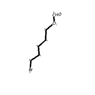 O=COCCCCCBr